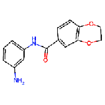 Nc1cccc(NC(=O)c2ccc3c(c2)OCCO3)c1